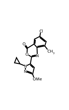 COc1cc(-c2nc3c(C)cc(Cl)cc3c(=O)o2)n(C2CC2)n1